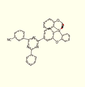 N#Cc1cccc(-c2nc(-c3ccccc3)nc(-c3ccc4c(c3)Oc3ccccc3[Si]43c4ccccc4Oc4ccccc43)n2)c1